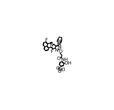 C#Cc1c(F)ccc2cccc(-c3ncc4c(N5CC6CCC(C5)N6)nc(OCCC(=O)Nc5ccc(S(=O)(=O)Cl)cc5O)nc4c3F)c12